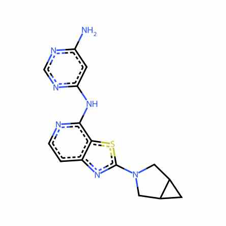 Nc1cc(Nc2nccc3nc(N4CC5CC5C4)sc23)ncn1